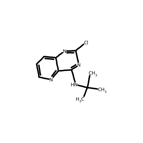 CC(C)(C)Nc1nc(Cl)nc2cccnc12